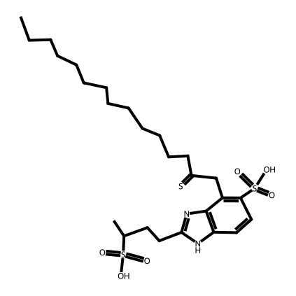 CCCCCCCCCCCCCC(=S)Cc1c(S(=O)(=O)O)ccc2[nH]c(CCC(C)S(=O)(=O)O)nc12